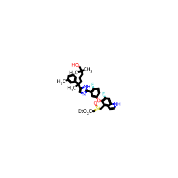 CCOC(=O)C[S+]([O-])Cc1c(Oc2ccc(F)c(-c3ncc(C(C)(CCCC(C)(C)CO)c4cccc(C)c4)[nH]3)c2)c(F)cc2[nH]ccc12